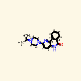 CC(C)N1CCN(c2ccc3[nH]c(=O)c4ccccc4c3n2)CC1